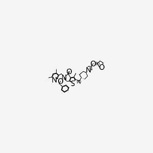 Cc1cc(C)c(CN2CCc3sc([C@H](C)[C@H]4CC[C@H](N5CC(O[C@@H]6CCOC6)C5)CC4)c(C)c3C2=O)c(OCc2ccccc2)n1